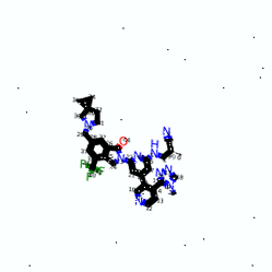 C[C@@H](C#N)CNc1cc(-c2cnccc2-c2nncn2C)cc(N2Cc3c(cc(CN4CCC5(CC5)C4)cc3C(F)(F)F)C2=O)n1